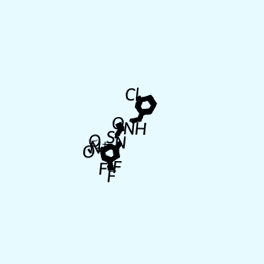 O=C(NCCc1cccc(Cl)c1)c1nc2cc(C(F)(F)F)cc([N+](=O)[O-])c2s1